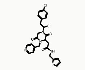 O=C(CC1C(=O)N(C(Cl)Cc2ccc(Cl)cc2)CC(=O)N1Cc1ccncc1)NCc1cccs1